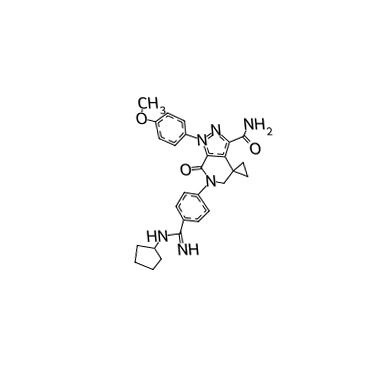 COc1ccc(-n2nc(C(N)=O)c3c2C(=O)N(c2ccc(C(=N)NC4CCCC4)cc2)CC32CC2)cc1